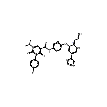 CC(C)n1cc(C(=O)Nc2ccc(OC3=CC(c4c[nH]cn4)=CN/C3=C\C=N)nc2)c(=O)n(-c2ccc(F)cc2)c1=O